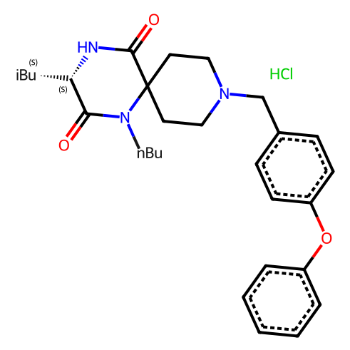 CCCCN1C(=O)[C@H]([C@@H](C)CC)NC(=O)C12CCN(Cc1ccc(Oc3ccccc3)cc1)CC2.Cl